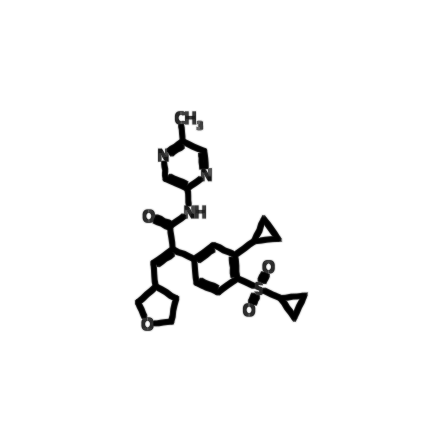 Cc1cnc(NC(=O)/C(=C/C2CCOC2)c2ccc(S(=O)(=O)C3CC3)c(C3CC3)c2)cn1